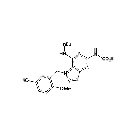 CCCCNc1nc(NC(=O)O)nc2cnn(Cc3cc(C#N)ccc3OC)c12